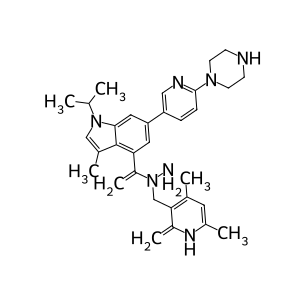 C=C1NC(C)=CC(C)=C1CN(N)C(=C)c1cc(-c2ccc(N3CCNCC3)nc2)cc2c1c(C)cn2C(C)C